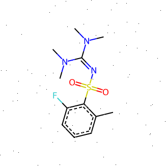 Cc1cccc(F)c1S(=O)(=O)N=C(N(C)C)N(C)C